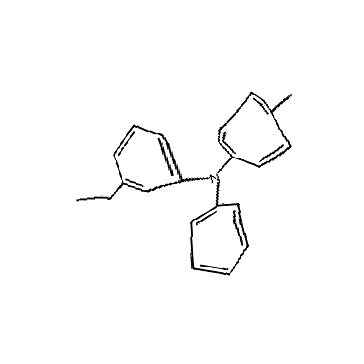 CCc1cccc(N(c2ccccc2)c2ccc(C)cc2)c1